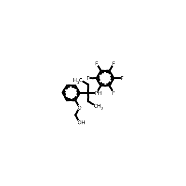 CCC(CC)(Pc1c(F)c(F)c(F)c(F)c1F)c1ccccc1OCO